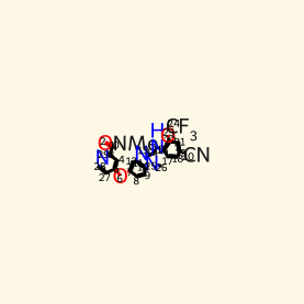 CNC(=O)c1cc(Oc2ccc3c(c2)nc(Nc2ccc(C#N)cc2OC(F)(F)F)n3C)ccn1